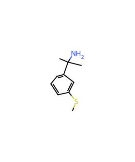 CSc1cccc(C(C)(C)N)c1